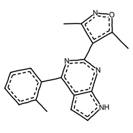 Cc1ccccc1-c1nc(-c2c(C)noc2C)nc2[nH]ccc12